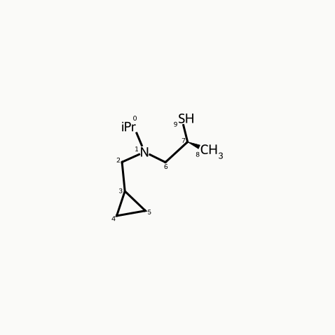 CC(C)N(CC1CC1)C[C@H](C)S